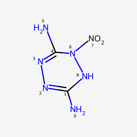 NC1=NN=C(N)N([N+](=O)[O-])N1